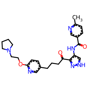 Cc1ccc(C(=O)Nc2c[nH]nc2C(=O)CCCc2ccc(OCCN3CCCC3)nc2)cn1